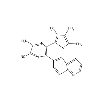 Cc1sc(-c2nc(N)c(C#N)nc2-c2ccc3ncccc3c2)c(C)c1C